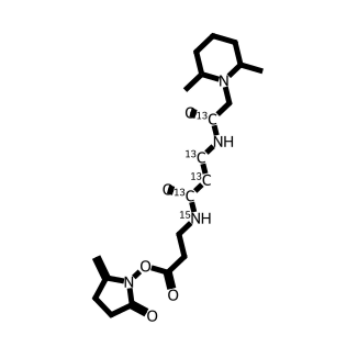 C=C1CCC(=O)N1OC(=O)CC[15NH][13C](=O)[13CH2][13CH2]N[13C](=O)CN1C(C)CCCC1C